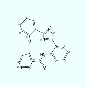 O=C(Nc1ccccc1-c1nc(-c2ccccc2Cl)no1)c1cccnc1